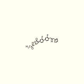 CC(=O)NC[C@H]1CN(c2ccc(-c3ccc(CNCc4nccs4)c(F)c3)c(F)c2)C(=O)O1